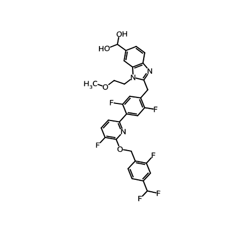 COCCn1c(Cc2cc(F)c(-c3ccc(F)c(OCc4ccc(C(F)F)cc4F)n3)cc2F)nc2ccc(C(O)O)cc21